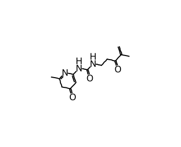 C=C(C)C(=O)CCNC(=O)NC1=CC(=O)CC(C)=N1